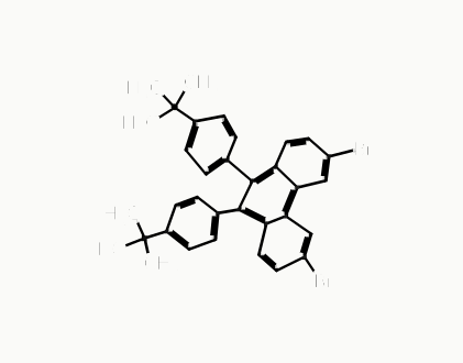 CC(C)(C)c1ccc(-c2c(-c3ccc(C(C)(C)C)cc3)c3ccc(Br)cc3c3cc(Br)ccc23)cc1